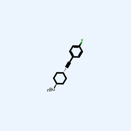 CCCC[C@H]1CC[C@H](C#Cc2ccc(F)cc2)CC1